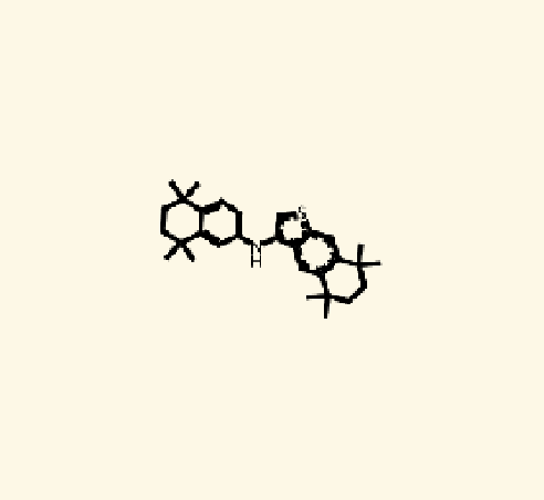 CC1(C)CCC(C)(C)C2=CC(Nc3csc4cc5c(cc34)C(C)(C)CCC5(C)C)CC=C21